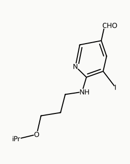 CC(C)OCCCNc1ncc(C=O)cc1I